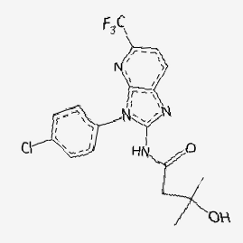 CC(C)(O)CC(=O)Nc1nc2ccc(C(F)(F)F)nc2n1-c1ccc(Cl)cc1